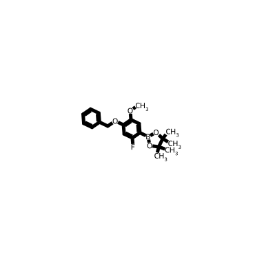 COc1cc(B2OC(C)(C)C(C)(C)O2)c(F)cc1OCc1ccccc1